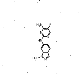 Cn1ncc2ccc(Nc3ncc(F)c(N)n3)cc21